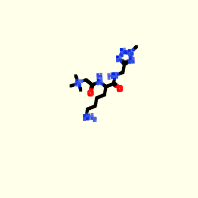 Cn1nnc(CNC(=O)C(CCCCN)NC(=O)C[N+](C)(C)C)n1